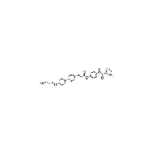 C=C(C)C(=O)Nc1ccc(OC(=O)/C=C/c2ccc(-c3ccc(OCCCC#N)cc3)cc2)cc1